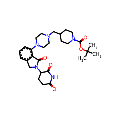 CC(C)(C)OC(=O)N1CCC(CN2CCN(c3cccc4c3C(=O)N(C3CCC(=O)NC3=O)C4)CC2)CC1